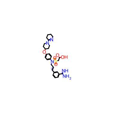 N=C(N)c1cccc(/C=C/CN(c2ccc(OC3CCN(C4=NCCCC4)CC3)cc2)S(=O)(=O)CC(=O)O)c1